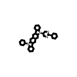 c1ccc(-c2ncc(-n3c4ccccc4c4cc5cc6c(cc5cc43)c3ccccc3n6-c3ccccc3)cn2)cc1